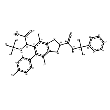 Cc1ccc(-c2c(C)c3c(c(C)c2C(OC(C)(C)C)C(=O)O)CN(C(=O)NC(C)(C)c2ccccc2)C3)cc1